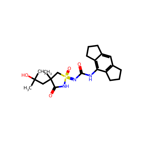 CC(C)(O)CC1(C)CS(=O)(=NC(=O)Nc2c3c(cc4c2CCC4)CCC3)NC1=O